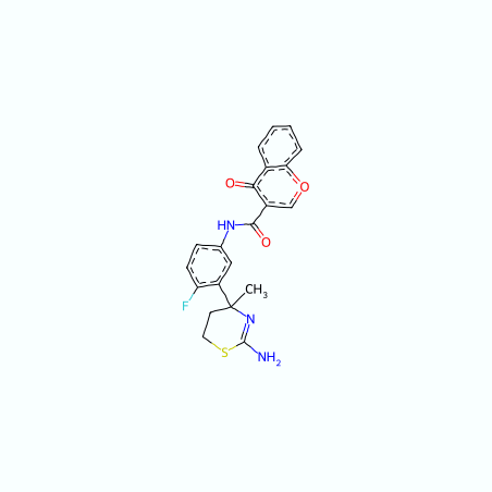 CC1(c2cc(NC(=O)c3coc4ccccc4c3=O)ccc2F)CCSC(N)=N1